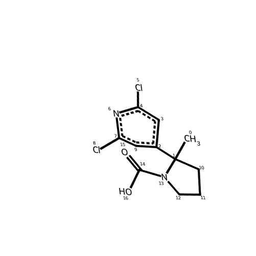 CC1(c2cc(Cl)nc(Cl)c2)CCCN1C(=O)O